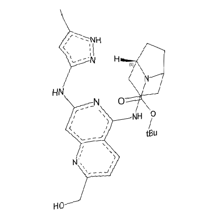 Cc1cc(Nc2cc3nc(CO)ccc3c(NC3CC4CC[C@@H](C3)N4C(=O)OC(C)(C)C)n2)n[nH]1